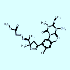 C=C=C1N(C)C(=O)N(c2cc(C3=NOC(C)(/C(C)=N/OCC(=O)OC)C3)c(Cl)cc2F)C(=O)N1C